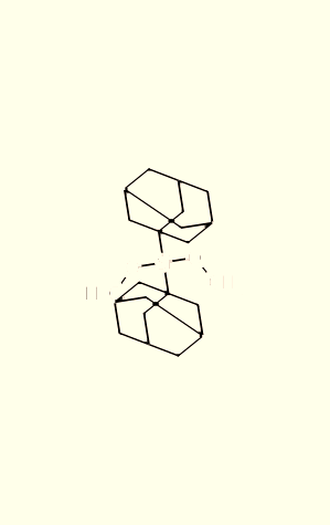 CO[Si](OC)(C12CC3CC(CC(C3)C1)C2)C12CC3CC(CC(C3)C1)C2